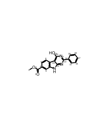 COC(=O)c1ccc2c(c1)[nH]c1nc(-c3ccccc3)nc(O)c12